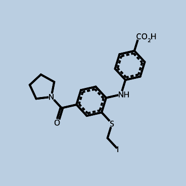 O=C(O)c1ccc(Nc2ccc(C(=O)N3CCCC3)cc2SCI)cc1